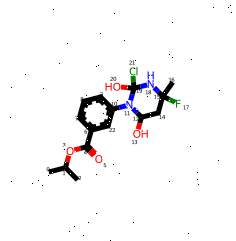 CC(C)OC(=O)c1cccc(N2C(O)CC(C)(F)NC2(O)Cl)c1